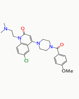 COc1ccc(C(=O)N2CCN(c3cc(=O)n(CCN(C)C)c4ccc(Cl)cc34)CC2)cc1